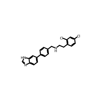 Clc1ccc(CCNCc2ccc(-c3ccc4nc[nH]c4c3)cc2)c(Cl)c1